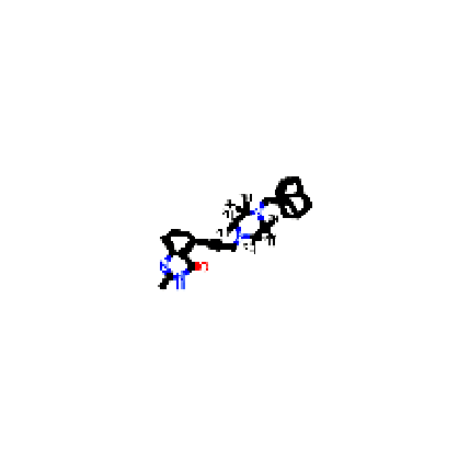 [2H]C1([2H])N(CC#Cc2cccc3nc(C)[nH]c(=O)c23)C([2H])([2H])C([2H])([2H])N(CC23CC4CC(CC(C4)C2)C3)C1([2H])[2H]